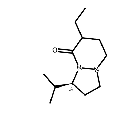 CCC1CCN2CC[C@@H](C(C)C)N2C1=O